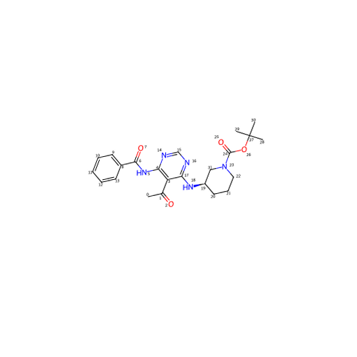 CC(=O)c1c(NC(=O)c2ccccc2)ncnc1N[C@@H]1CCCN(C(=O)OC(C)(C)C)C1